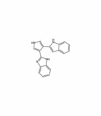 [c]1[nH]cc(-c2nc3ccccc3[nH]2)c1-c1cc2ccccc2[nH]1